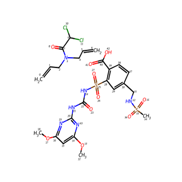 C=CCN(CC=C)C(=O)C(Cl)Cl.COc1cc(OC)nc(NC(=O)NS(=O)(=O)c2cc(CNS(C)(=O)=O)ccc2C(=O)O)n1